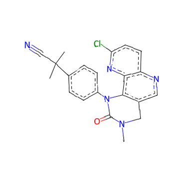 CN1Cc2cnc3ccc(Cl)nc3c2N(c2ccc(C(C)(C)C#N)cc2)C1=O